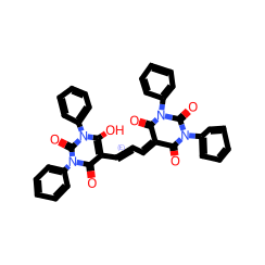 O=C1C(=C/C=C/c2c(O)n(-c3ccccc3)c(=O)n(-c3ccccc3)c2=O)C(=O)N(c2ccccc2)C(=O)N1c1ccccc1